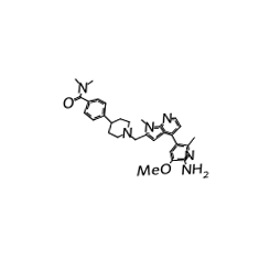 COc1cc(-c2ccnc3c2cc(CN2CCC(c4ccc(C(=O)N(C)C)cc4)CC2)n3C)c(C)nc1N